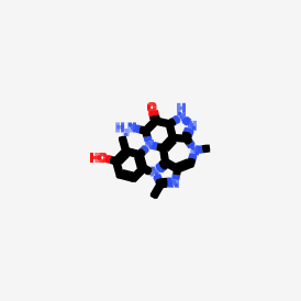 CC1=NC2=CN(C)C3=NNC4C(=O)C(N)N(c5c(C)ccc(O)c5C)C(=C34)C2=N1